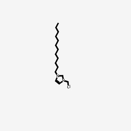 CCCCCCCCCCCCN1C=CN(CCl)C1